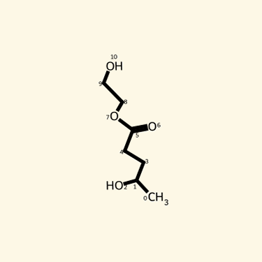 CC(O)CCC(=O)OCCO